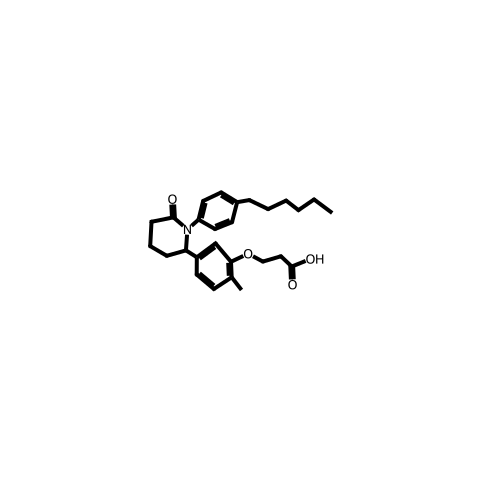 CCCCCCc1ccc(N2C(=O)CCCC2c2ccc(C)c(OCCC(=O)O)c2)cc1